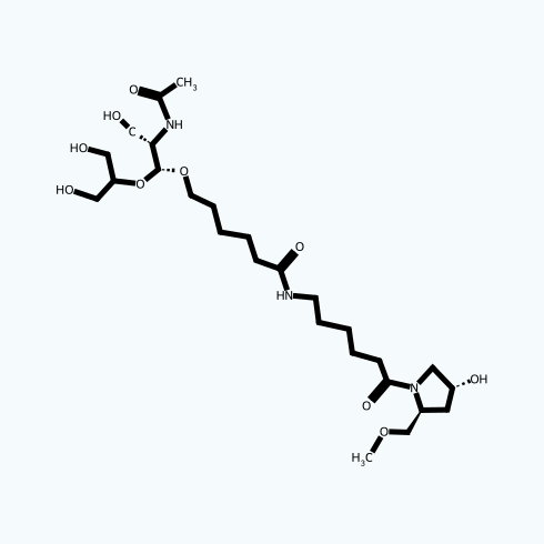 COC[C@@H]1C[C@@H](O)CN1C(=O)CCCCCNC(=O)CCCCCO[C@H](OC(CO)CO)[C@H](CO)NC(C)=O